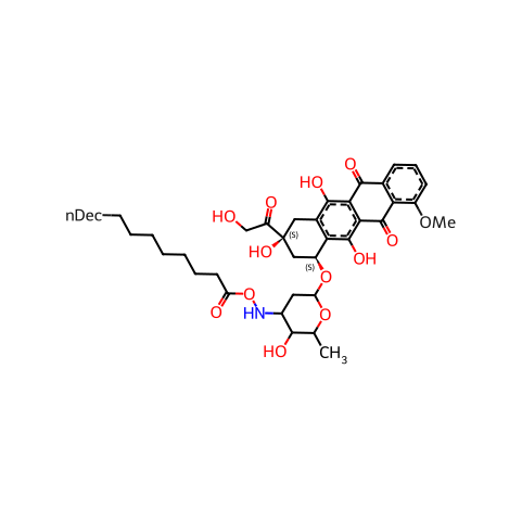 CCCCCCCCCCCCCCCCCC(=O)ONC1CC(O[C@H]2C[C@](O)(C(=O)CO)Cc3c(O)c4c(c(O)c32)C(=O)c2c(OC)cccc2C4=O)OC(C)C1O